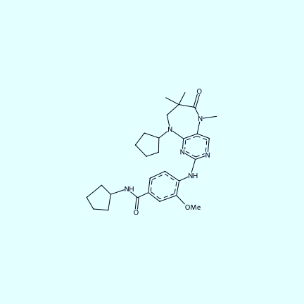 COc1cc(C(=O)NC2CCCC2)ccc1Nc1ncc2c(n1)N(C1CCCC1)CC(C)(C)C(=O)N2C